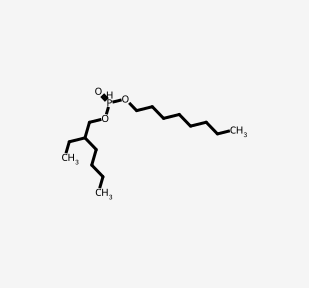 CCCCCCCCO[PH](=O)OCC(CC)CCCC